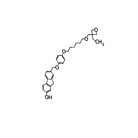 CCC1(COCCCCCCOc2ccc(OCc3ccc4c(c3)Cc3cc(O)ccc3-4)cc2)COC1